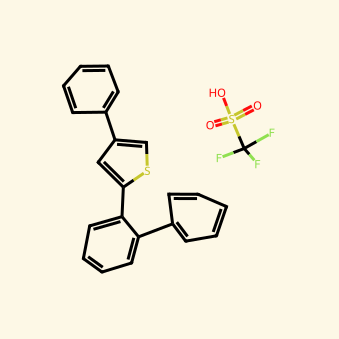 O=S(=O)(O)C(F)(F)F.c1ccc(-c2csc(-c3ccccc3-c3ccccc3)c2)cc1